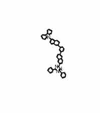 c1ccc(-c2nc(-c3ccccc3)nc(-c3ccc4cc(-c5cccc(-c6ccc7cc(-n8c9ccccc9c9ccccc98)ccc7c6)c5)ccc4c3)n2)cc1